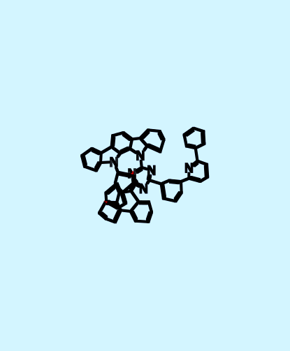 c1ccc(-c2cccc(-c3cccc(-c4nc(-c5ccccc5)nc(-n5c6ccccc6c6ccc7c8ccccc8n(-c8ccc9c%10ccccc%10c%10ccccc%10c9c8)c7c65)n4)c3)n2)cc1